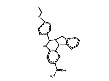 CCOc1ccc(C2Nc3ccc(C(=N)N)cc3C3c4ccccc4CC23)cc1